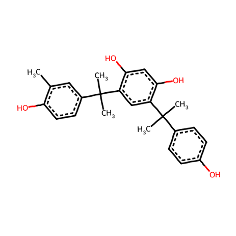 Cc1cc(C(C)(C)c2cc(C(C)(C)c3ccc(O)cc3)c(O)cc2O)ccc1O